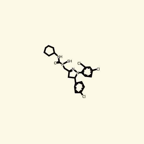 O=C(NC1CCCCC1)N(S)CC1=NN(c2ccc(Cl)cc2Cl)C(c2ccc(Cl)cc2)C1